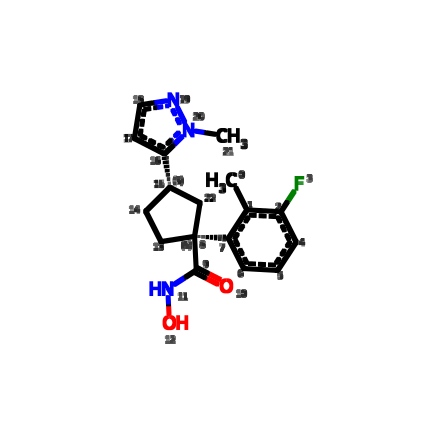 Cc1c(F)cccc1[C@]1(C(=O)NO)CC[C@H](c2ccnn2C)C1